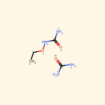 CCONC(N)=O.NC(N)=O